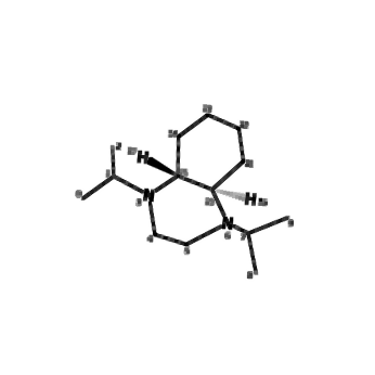 CC(C)N1CCN(C(C)C)[C@@H]2CCCC[C@H]21